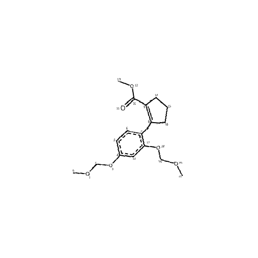 COCOc1ccc(C2=C(C(=O)OC)CCC2)c(OCOC)c1